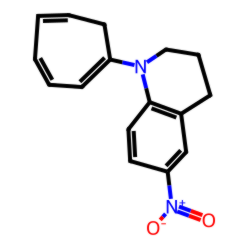 O=[N+]([O-])c1ccc2c(c1)CCCN2C1=CC=CC=CC1